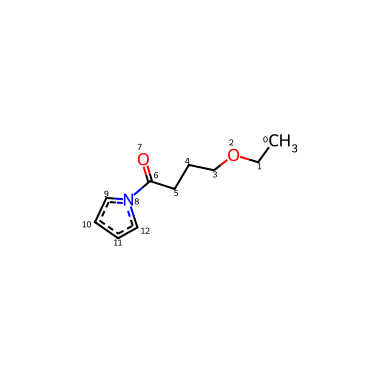 CCOCCCC(=O)n1cccc1